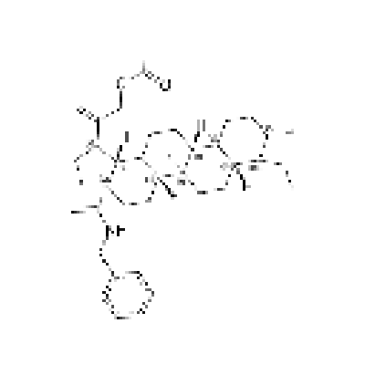 C=C(COC(C)=O)[C@@H]1CC[C@]2(C(=C)NCc3ccccc3)CC[C@]3(C)C(CC[C@@H]4[C@@]5(C)CC[C@H](C)[C@@](C)(CC)[C@@H]5CC[C@]43C)[C@@H]12